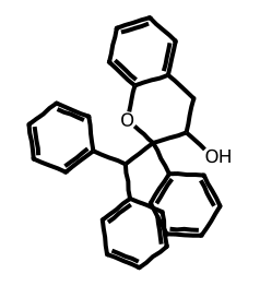 OC1Cc2ccccc2OC1(c1ccccc1)C(c1ccccc1)c1ccccc1